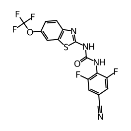 N#Cc1cc(F)c(NC(=O)Nc2nc3ccc(OC(F)(F)F)cc3s2)c(F)c1